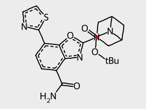 CC(C)(C)OC(=O)N1C2CC1CN(c1nc3c(C(N)=O)ccc(-c4nccs4)c3o1)C2